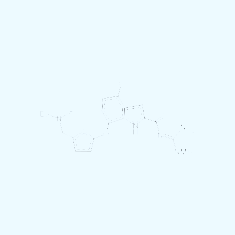 CCN(CC)Cc1ccc(Oc2ccc(Cl)c3cc(C(=O)N=C(N)NC)[nH]c23)s1